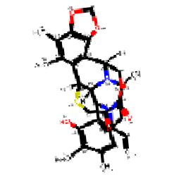 C=CCN1C2c3c(cc(C)c(OC)c3O)CC1[C@H](C#N)N1[C@H]2[C@@H]2SCC(=O)C(=O)OC[C@H]1c1c3c(c(C)c(OC(C)=O)c12)OCO3